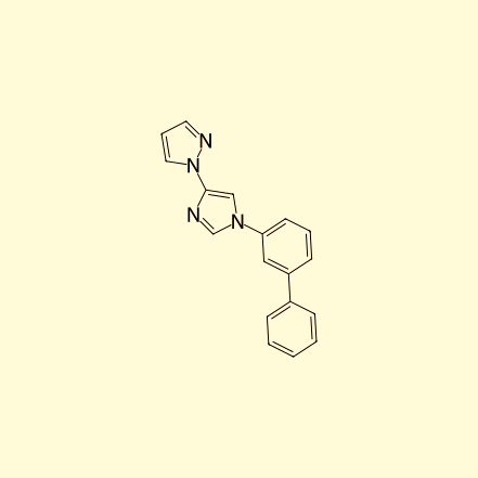 c1ccc(-c2cccc(-n3cnc(-n4cccn4)c3)c2)cc1